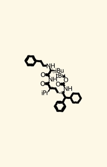 CC[C@H](C)[C@H](NCCc1ccccc1)C(=O)NC(=O)[C@@H](CC[C@H](NC(=O)OC(C)(C)C)C(c1ccccc1)C1CCCCC1)C(C)C